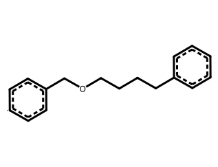 [c]1ccc(COCCCCc2ccccc2)cc1